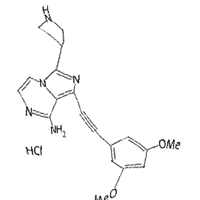 COc1cc(C#Cc2nc(C3CNC3)n3ccnc(N)c23)cc(OC)c1.Cl